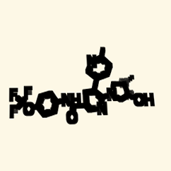 Cc1ccc(-c2cc(C(=O)Nc3ccc(OC(F)(F)F)cc3)cnc2N2C[C@H](C)[C@@H](O)C2)cn1